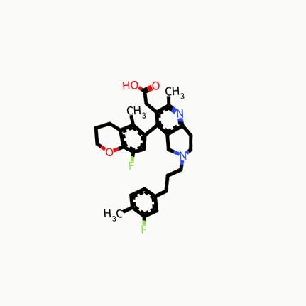 Cc1ccc(CCCN2CCc3nc(C)c(CC(=O)O)c(-c4cc(F)c5c(c4C)CCCO5)c3C2)cc1F